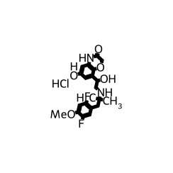 COc1cc(F)c(CC(C)(C)NCC(O)c2cc(O)cc3c2OCC(=O)N3)cc1F.Cl